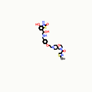 CC(C)(C)c1nc(C(=O)N2CCOC3(CCN(CCOc4ccc(CNC[C@H](O)c5ccc(O)c6[nH]c(=O)sc56)cc4)CC3)C2)cs1